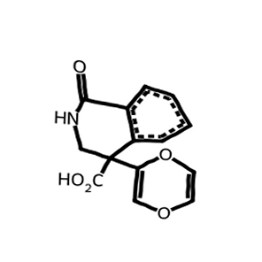 O=C1NCC(C(=O)O)(C2=COC=CO2)c2ccccc21